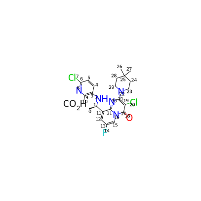 C[C@@H](Nc1ccc(Cl)nc1C(=O)O)c1cc(F)cn2c(=O)c(Cl)c(N3CCC(C)(C)CC3)nc12